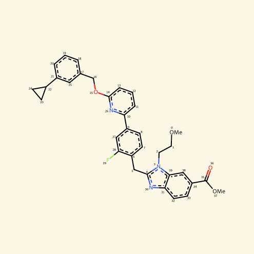 COCCn1c(Cc2ccc(-c3cccc(OCc4cccc(C5CC5)c4)n3)cc2F)nc2ccc(C(=O)OC)cc21